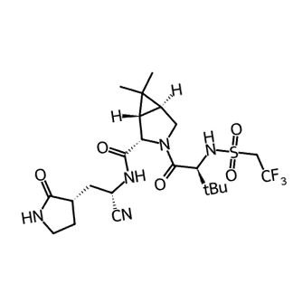 CC(C)(C)[C@H](NS(=O)(=O)CC(F)(F)F)C(=O)N1C[C@H]2[C@H]([C@H]1C(=O)N[C@H](C#N)C[C@@H]1CCNC1=O)C2(C)C